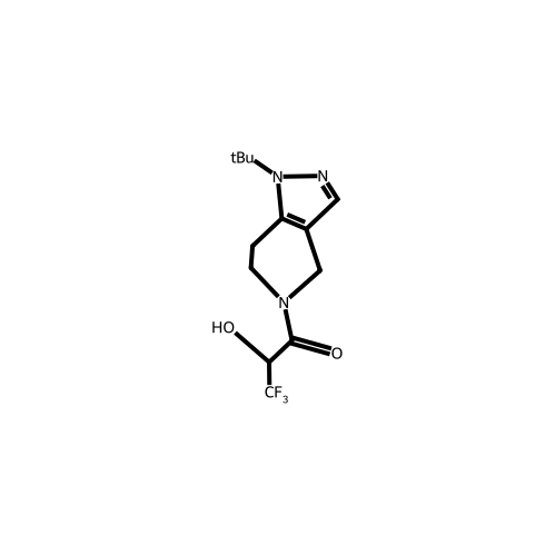 CC(C)(C)n1ncc2c1CCN(C(=O)C(O)C(F)(F)F)C2